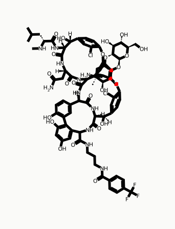 CN[C@H](CC(C)C)C(=O)N[C@H]1C(=O)N[C@@H](CC(N)=O)C(=O)NC2C(=O)N[C@H]3C(=O)N[C@H](C(=O)NC(C(=O)NCCCNC(=O)c4ccc(C(F)(F)F)cc4)c4cc(O)cc(O)c4-c4cc3ccc4O)[C@H](O)c3ccc(c(Cl)c3)Oc3cc2cc(c3O[C@@H]2O[C@H](CO)[C@@H](O)[C@H](O)[C@H]2OC2C[C@](C)(N)[C@H](O)[C@H](C)O2)Oc2ccc(cc2Cl)[C@H]1O